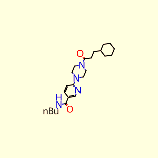 CCCCNC(=O)c1ccc(N2CCN(C(=O)CCC3CCCCC3)CC2)nc1